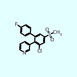 CS(=O)(=O)c1cc(Cl)c(-c2cccnc2)c(-c2ccc(F)cc2)c1